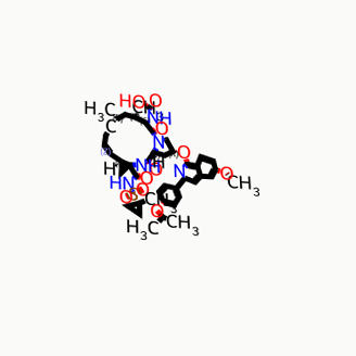 COc1ccc2c(O[C@@H]3C[C@H]4C(=O)NC5(C(=O)NS(=O)(=O)C6(C)CC6)C[C@H]5/C=C\CC[C@@H](C)C[C@@H](C)[C@H](NC(=O)O)C(=O)N4C3)nc(-c3ccc(OC(C)C)cc3)cc2c1